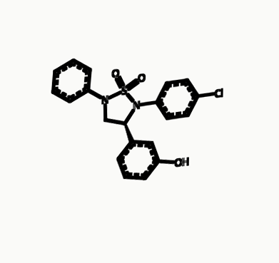 O=S1(=O)N(c2ccccc2)C[C@H](c2cccc(O)c2)N1c1ccc(Cl)cc1